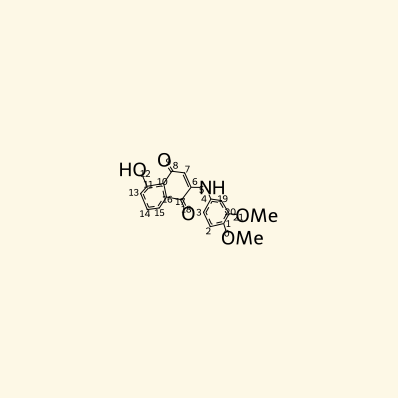 COc1ccc(NC2=CC(=O)c3c(O)cccc3C2=O)cc1OC